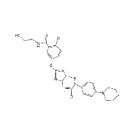 CCc1ccc(OC2=NC3N=C(c4ccc(N5CCOCC5)cc4)C(Cl)=CC3N2)cc1C(=O)NCCO